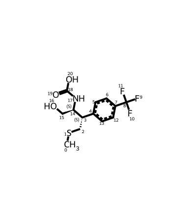 CSC[C@@H](c1ccc(C(F)(F)F)cc1)[C@@H](CO)NC(=O)O